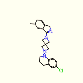 CC1C=C2C(=CC1)CN=C2N1CC2(C1)CN(N1CCCc3cc(Cl)ccc31)C2